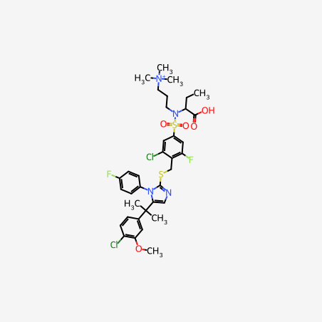 CCC(C(=O)O)N(CCC[N+](C)(C)C)S(=O)(=O)c1cc(F)c(CSc2ncc(C(C)(C)c3ccc(Cl)c(OC)c3)n2-c2ccc(F)cc2)c(Cl)c1